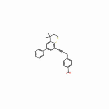 CC1(C)CCSc2c(C#CCc3ccc(C(=O)O)cc3)cc(-c3ccccc3)cc21